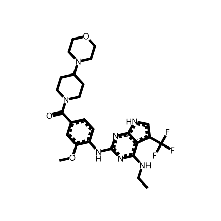 CCNc1nc(Nc2ccc(C(=O)N3CCC(N4CCOCC4)CC3)cc2OC)nc2[nH]cc(C(F)(F)F)c12